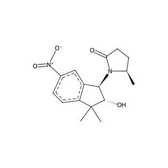 C[C@@H]1CCC(=O)N1[C@@H]1c2cc([N+](=O)[O-])ccc2C(C)(C)[C@H]1O